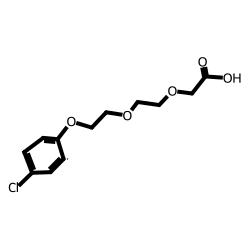 O=C(O)COCCOCCOc1[c]cc(Cl)cc1